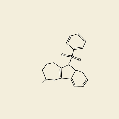 CN1CCCC2=C(C1)C1=CC=CCC1N2S(=O)(=O)c1ccccc1